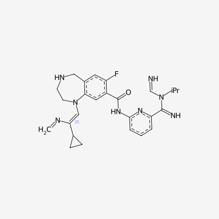 C=N/C(=C\N1CCNCc2cc(F)c(C(=O)Nc3cccc(C(=N)N(C=N)C(C)C)n3)cc21)C1CC1